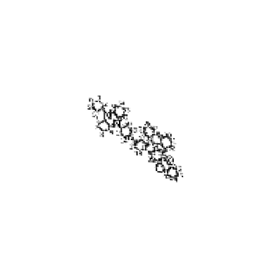 c1ccc(N2c3ccccc3N(c3ccc(-c4ccc5c(c4)C4(c6ccccc6-c6ccccc64)c4cc6c(cc4-5)Oc4ccccc4O6)cc3)c3ccccc32)cc1